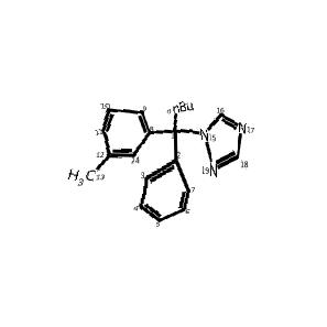 CCCCC(c1ccccc1)(c1cccc(C)c1)n1cncn1